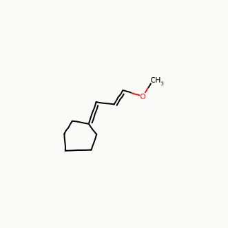 COC=CC=C1CCCCC1